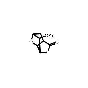 CC(=O)OC1C2CC3C(=O)OC1C3O2